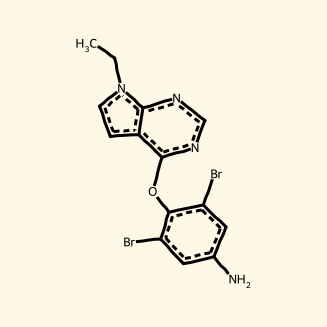 CCn1ccc2c(Oc3c(Br)cc(N)cc3Br)ncnc21